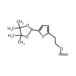 CCCCCCCCCOCCc1ccc(B2OC(C)(C)C(C)(C)O2)s1